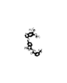 COc1cc2nccc(OCc3ccc4c(NC(=O)c5cccc(C(F)(F)F)c5)n[nH]c4c3)c2cc1OC